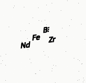 [B].[Fe].[Nd].[Zr]